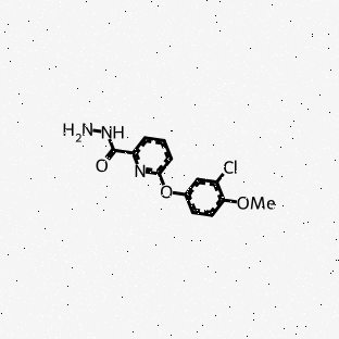 COc1ccc(Oc2cccc(C(=O)NN)n2)cc1Cl